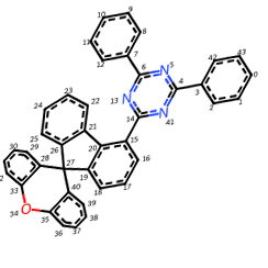 c1ccc(-c2nc(-c3ccccc3)nc(-c3cccc4c3-c3ccccc3C43c4ccccc4Oc4ccccc43)n2)cc1